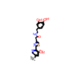 N#Cc1cnc(-c2nc(CC(=O)NCCc3ccc(O)c(O)c3)cs2)c(O)c1